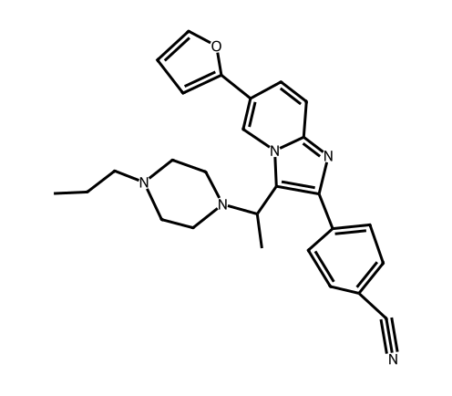 CCCN1CCN(C(C)c2c(-c3ccc(C#N)cc3)nc3ccc(-c4ccco4)cn23)CC1